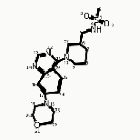 CS(=O)(=O)NCC1CCCN(c2ncnc3cc(N4CCOCC4)ccc23)C1